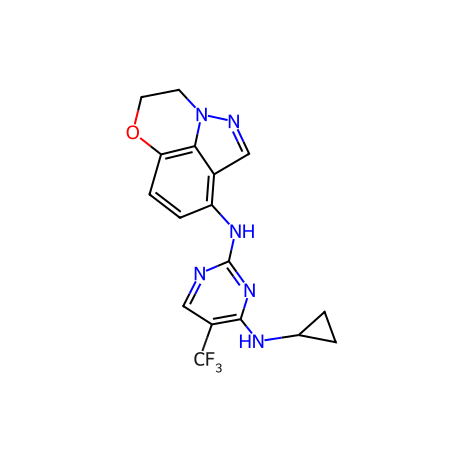 FC(F)(F)c1cnc(Nc2ccc3c4c2cnn4CCO3)nc1NC1CC1